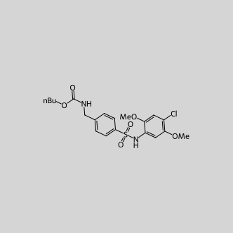 CCCCOC(=O)NCc1ccc(S(=O)(=O)Nc2cc(OC)c(Cl)cc2OC)cc1